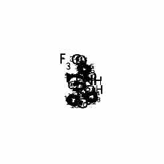 O=S(=NCC1CC1)(N[C@H]1COC=C(N2c3ccccc3Oc3ccccc32)[C@H]1O)c1ccc(OC(F)(F)F)cc1